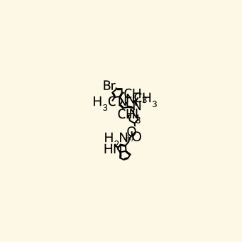 Cc1nc(N2CCC(COC(=O)[C@@H](N)Cc3c[nH]c4ccccc34)CC2)c2c(C)cn(-c3c(C)cc(Br)cc3C)c2n1